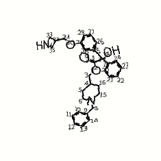 O=C(OCC1CCN(Cc2ccccc2)CC1)C(O)(c1ccccc1)c1cccc(OCC2CNC2)c1